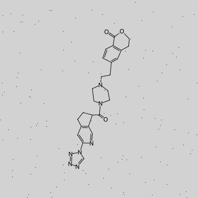 O=C1OCCc2cc(CCN3CCN(C(=O)C4CCc5cc(-n6cnnn6)ncc54)CC3)ccc21